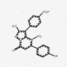 Cc1nn2c(=O)cc(-c3ccc(C#N)cc3)n(C)c2c1-c1ccc(C(=O)O)cc1